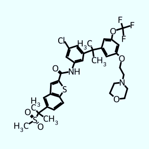 CC(C)(c1cc(Cl)cc(NC(=O)c2cc3cc(C(C)(C)S(C)(=O)=O)ccc3s2)c1)c1cc(OCCN2CCOCC2)cc(OC(F)(F)F)c1